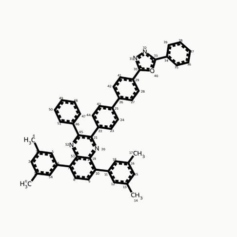 Cc1cc(C)cc(-c2ccc(-c3cc(C)cc(C)c3)c3nc(-c4ccc(-c5ccc(-c6nnc(-c7ccccc7)o6)cc5)cc4)c(-c4ccccc4)nc23)c1